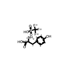 NC(Cc1ccc(O)cc1)C(=O)O.O=S(=O)(O)C(F)(F)F